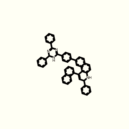 C1=C(c2cccc3ccccc23)c2c(ccc3ccc(-c4ccc(C5=NC(c6ccccc6)=NC(c6ccccc6)N5)cc4)cc23)NC1c1ccccc1